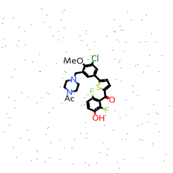 COc1c(Cl)cc(-c2ccc(C(=O)c3c(F)ccc(O)c3F)s2)cc1CN1CCN(C(C)=O)CC1